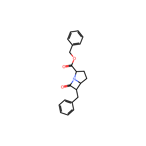 O=C(OCc1ccccc1)C1CCC2C(Cc3ccccc3)C(=O)N12